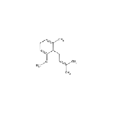 COC1=CCC=C(C)C1CC=C(C)C